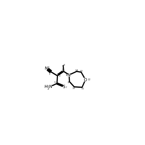 CC(=C(C#N)C(N)=S)N1CCCOCC1